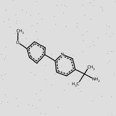 COc1ccc(-c2ccc(C(C)(C)N)cn2)cc1